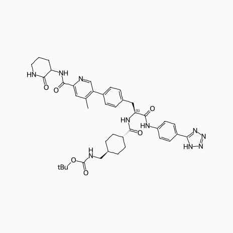 Cc1cc(C(=O)NC2CCCNC2=O)ncc1-c1ccc(C[C@H](NC(=O)[C@H]2CC[C@H](CNC(=O)OC(C)(C)C)CC2)C(=O)Nc2ccc(-c3nnn[nH]3)cc2)cc1